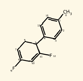 Cc1ccc(C2CC=C(F)[C]=C2F)cc1